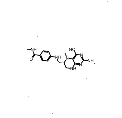 CNC(=O)c1ccc(NC[C@H]2CNc3nc(N)nc(O)c3N2C)cc1